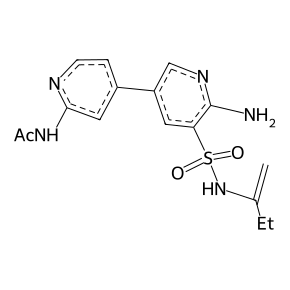 C=C(CC)NS(=O)(=O)c1cc(-c2ccnc(NC(C)=O)c2)cnc1N